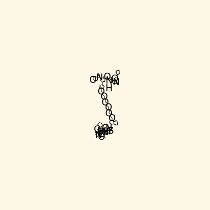 CCN(c1cc(-c2ccc(OCCOCCOCCOCCOCCOc3ccc(-c4csc([C@@H]5CCCN5C(=O)[C@@H](NC(=O)[C@H](C)N(C)C(=O)OC(C)(C)C)C5CCCCC5)n4)c4ccccc34)cc2)cc(C(=O)NCc2c(C)cc(C)nc2OCc2ccccc2)c1C)C1CCOCC1